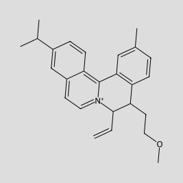 C=CC1C(CCOC)c2ccc(C)cc2-c2c3ccc(C(C)C)cc3cc[n+]21